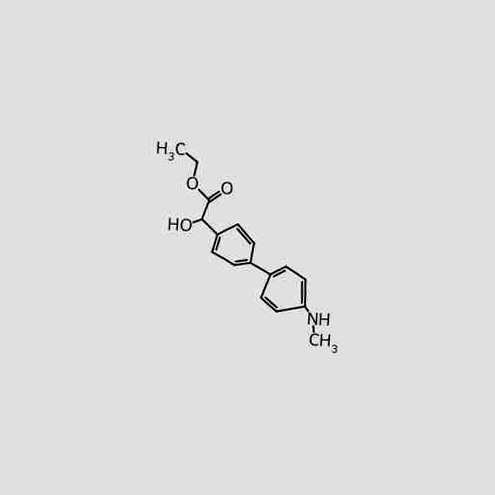 CCOC(=O)C(O)c1ccc(-c2ccc(NC)cc2)cc1